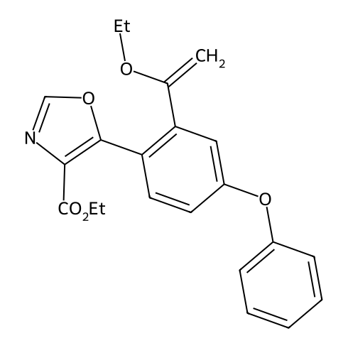 C=C(OCC)c1cc(Oc2ccccc2)ccc1-c1ocnc1C(=O)OCC